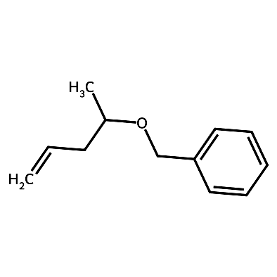 C=CCC(C)OCc1ccccc1